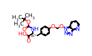 CC(C)(C)OC(=O)N[C@H](Cc1ccc(OCOn2nnc3ncccc32)cc1)C(=O)O